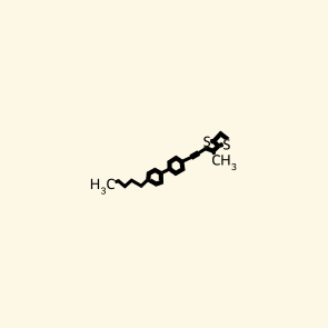 CCCCCc1ccc(-c2ccc(C#Cc3sc4ccsc4c3C)cc2)cc1